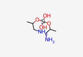 CC(CN)O[Si](O)(O)OC(C)CN